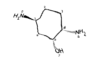 N[C@H]1CC[C@H](N)[C@H](O)C1